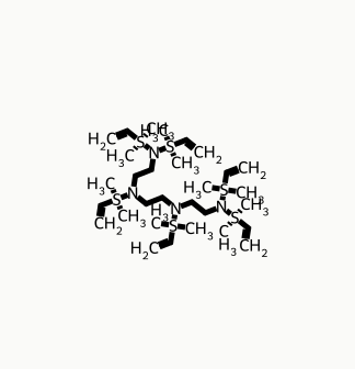 C=CS(C)(C)N(CCN(CCN(S(C)(C)C=C)S(C)(C)C=C)S(C)(C)C=C)CCN(S(C)(C)C=C)S(C)(C)C=C